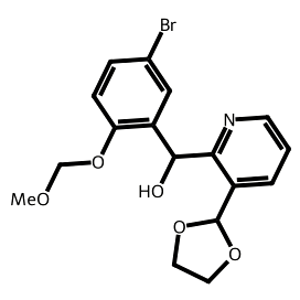 COCOc1ccc(Br)cc1C(O)c1ncccc1C1OCCO1